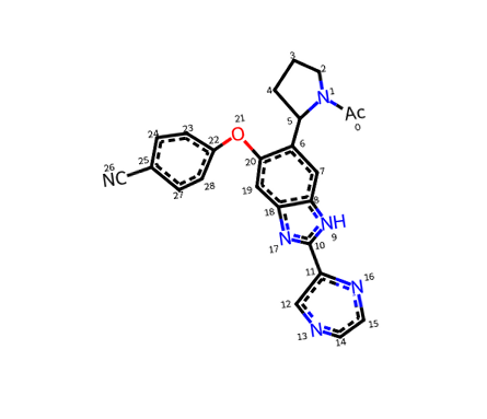 CC(=O)N1CCCC1c1cc2[nH]c(-c3cnccn3)nc2cc1Oc1ccc(C#N)cc1